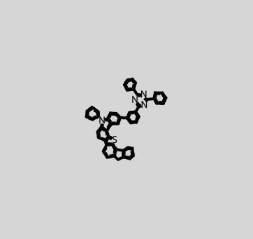 c1ccc(-c2nc(-c3ccccc3)nc(-c3cccc(-c4ccc5c(c4)c4c6sc7c8c(ccc7c6ccc4n5-c4ccccc4)Cc4ccccc4-8)c3)n2)cc1